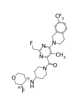 Cc1c(C(=O)N2CCC(N[C@H]3CCOC[C@@H]3F)CC2)nc(CF)nc1N1CCc2ccc(C(F)(F)F)cc2C1